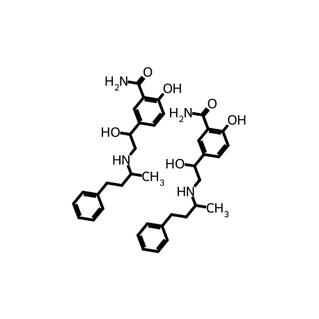 CC(CCc1ccccc1)NCC(O)c1ccc(O)c(C(N)=O)c1.CC(CCc1ccccc1)NCC(O)c1ccc(O)c(C(N)=O)c1